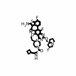 N#Cc1c(N)sc2c(F)ccc(-c3c(Cl)c4c5c(nc(OC[C@@]67CCCN6C[C@H](F)C7)nc5c3F)N3CCN(C(=O)[C@@H]5NC5=C5CCC5)CCC3CCO4)c12